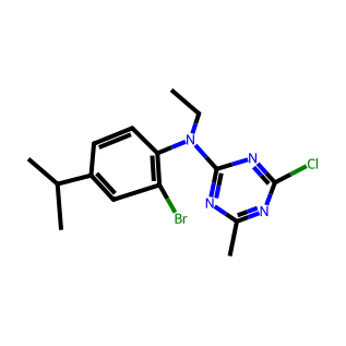 CCN(c1nc(C)nc(Cl)n1)c1ccc(C(C)C)cc1Br